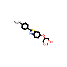 CNc1ccc(-c2nc3ccc(OC(CO)CO)cc3s2)cc1